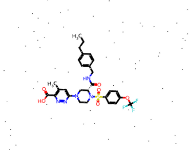 CCCc1ccc(CNC(=O)[C@H]2CN(c3cc(C)c(C(=O)O)nn3)CCN2S(=O)(=O)c2ccc(OC(F)(F)F)cc2)cc1